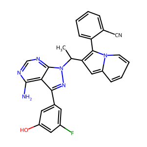 CC(c1cc2ccccn2c1-c1ccccc1C#N)n1nc(-c2cc(O)cc(F)c2)c2c(N)ncnc21